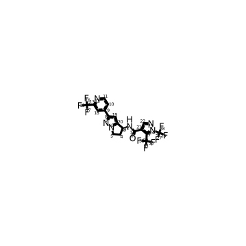 O=C(N[C@H]1CCn2nc(-c3ccnc(C(F)(F)F)c3)cc21)c1cnn(C(F)(F)F)c1C(F)(F)F